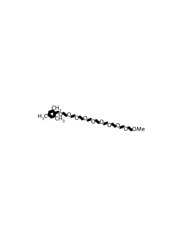 COCCOCCOCCOCCOCCOCCOCCOCCOCCOCc1c(C)cc(C)cc1C